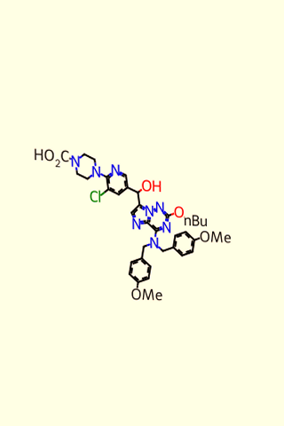 CCCCOc1nc(N(Cc2ccc(OC)cc2)Cc2ccc(OC)cc2)c2ncc(C(O)c3cnc(N4CCN(C(=O)O)CC4)c(Cl)c3)n2n1